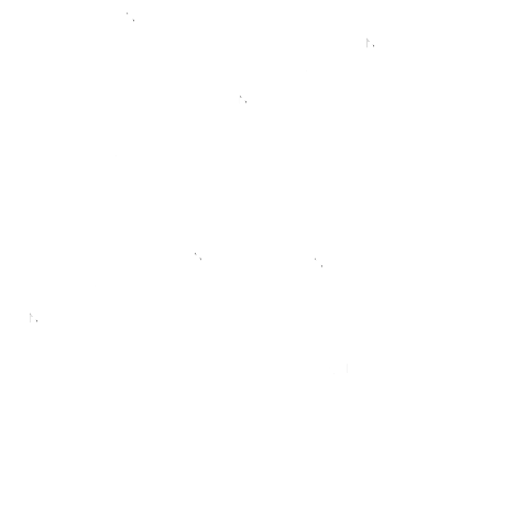 Cc1cc(-c2ncc(-c3cccnc3)cc2C=Cc2ccccc2)cnc1-c1ccccc1.c1ccc(Cc2cncc(-c3ccc(-c4ncccc4Cc4ccccc4)cn3)c2)cc1